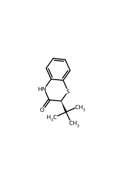 CC(C)(C)[C@@H]1Sc2ccccc2NC1=O